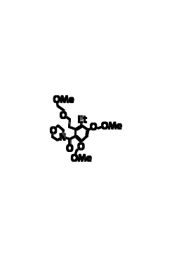 CCc1c(OCOC)cc(OCOC)c(C(=O)N2CCOCC2)c1CCOCCOC